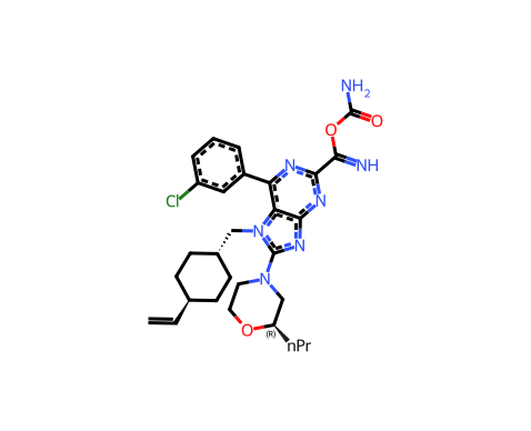 C=C[C@H]1CC[C@H](Cn2c(N3CCO[C@H](CCC)C3)nc3nc(C(=N)OC(N)=O)nc(-c4cccc(Cl)c4)c32)CC1